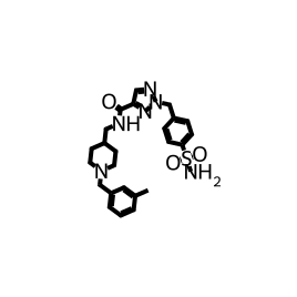 Cc1cccc(CN2CCC(CNC(=O)c3cnn(Cc4ccc(S(N)(=O)=O)cc4)n3)CC2)c1